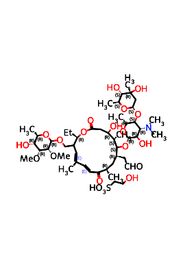 CC[C@H]1OC(=O)C[C@@H](O)[C@H](C)[C@@H](O[C@@H]2O[C@H](C)[C@@H](O[C@H]3C[C@@](C)(O)[C@@H](O)[C@H](C)O3)[C@H](N(C)C)[C@H]2O)[C@@H](CC=O)C[C@@H](C)C(=O)/C=C/C(C)=C/C1CO[C@@H]1O[C@H](C)[C@@H](O)[C@@H](OC)[C@H]1OC.O=S(=O)(O)CCO